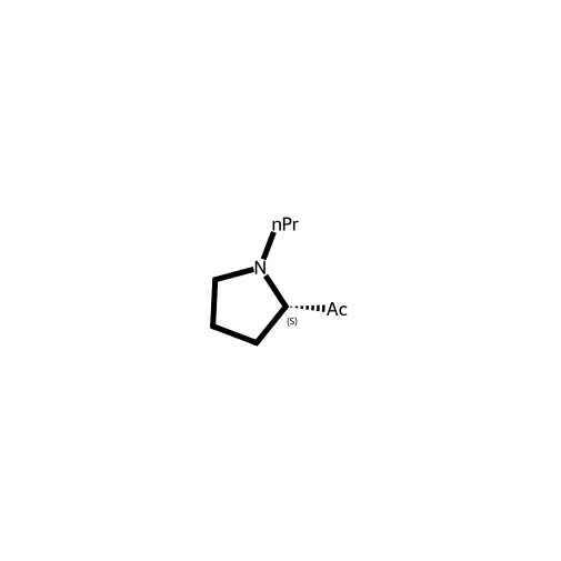 CCCN1CCC[C@H]1C(C)=O